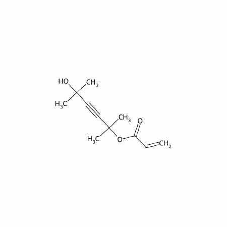 C=CC(=O)OC(C)(C)C#CC(C)(C)O